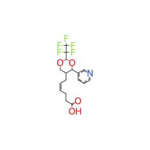 O=C(O)CC/C=C\CC1COC(C(F)(F)C(F)(F)F)OC1c1cccnc1